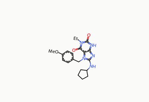 CCn1c(=O)[nH]c2nc(NC3CCCC3)n(Cc3ccc(OC)cc3)c2c1=O